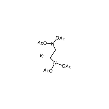 CC(=O)ON(CCN(OC(C)=O)OC(C)=O)OC(C)=O.[K]